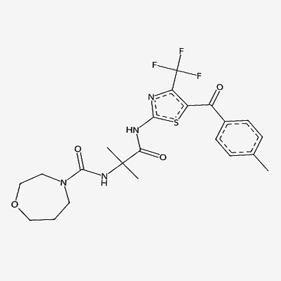 Cc1ccc(C(=O)c2sc(NC(=O)C(C)(C)NC(=O)N3CCCOCC3)nc2C(F)(F)F)cc1